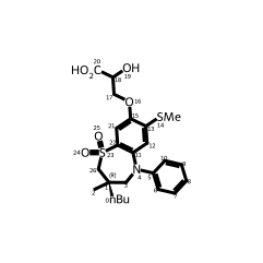 CCCC[C@]1(C)CN(c2ccccc2)c2cc(SC)c(OCC(O)C(=O)O)cc2S(=O)(=O)C1